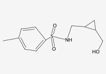 Cc1ccc(S(=O)(=O)NCC2CC2CO)cc1